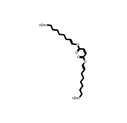 CCCCCCCCCCCCCCCC/C=C/OC(=O)/C=C\C(=O)O/C=C/CCCCCCCCCCCCCCCC